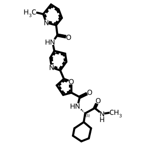 CNC(=O)[C@@H](NC(=O)c1ccc(-c2ccc(NC(=O)c3cccc(C)n3)cn2)o1)C1CCCCC1